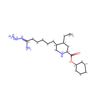 BCC1CC(C(=O)OC2CCCCC2)NCC1CCCCC/C(N)=N/NN